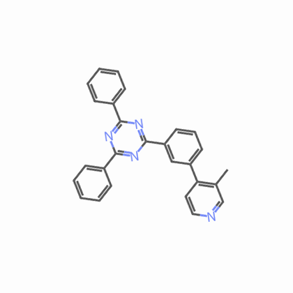 Cc1cnccc1-c1cccc(-c2nc(-c3ccccc3)nc(-c3ccccc3)n2)c1